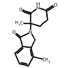 Cc1cccc2c1CN(C1(C)CCC(=O)NC1=O)C2=O